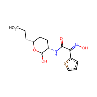 O=C(O)CC[C@@H]1CC[C@H](NC(=O)/C(=N/O)c2cccs2)B(O)O1